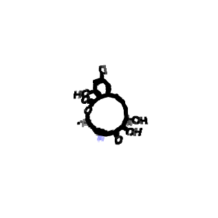 C[C@H]1C/C=C\C(=O)C(O)[C@@H](O)CCCc2cc(Cl)cc(O)c2C(=O)O1